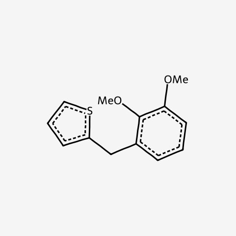 COc1cccc(Cc2cccs2)c1OC